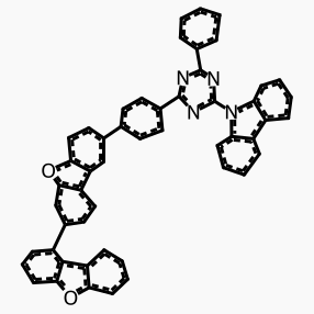 c1ccc(-c2nc(-c3ccc(-c4ccc5oc6cc(-c7cccc8oc9ccccc9c78)ccc6c5c4)cc3)nc(-n3c4ccccc4c4ccccc43)n2)cc1